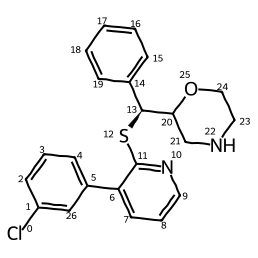 Clc1cccc(-c2cccnc2S[C@@H](c2ccccc2)C2CNCCO2)c1